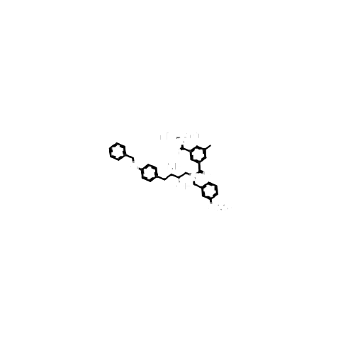 CCCN(CCC)C(=O)c1cc(C)cc(C(=O)N(Cc2cccc(OC)c2)C[C@@H](O)[C@@H](N)Cc2ccc(OCc3ccccc3)cc2)c1